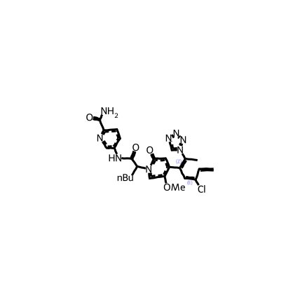 C=C/C(Cl)=C\C(=C(/C)n1cnnn1)c1cc(=O)n(C(CCCC)C(=O)Nc2ccc(C(N)=O)nc2)cc1OC